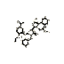 CCNc1ccc(C(C)=O)cc1N=C1SC(=C2SC(C)=C(c3ccccc3)N2CC(=O)OC)C(=O)N1Cc1ccccc1